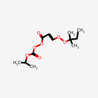 CCC(C)(C)OOC=CC(=O)OOC(=O)OC(C)C